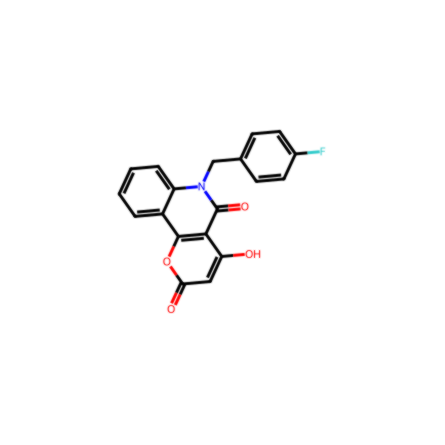 O=c1cc(O)c2c(=O)n(Cc3ccc(F)cc3)c3ccccc3c2o1